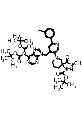 CNC(=O)C1(NC(=O)OC(C)(C)C)CCCN(c2cnc(-c3cccc(F)c3)cc2Cn2cnc3c(N(C(=O)OC(C)(C)C)C(=O)OC(C)(C)C)ncnc32)C1